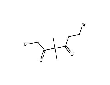 CC(C)(C(=O)CBr)C(=O)CCBr